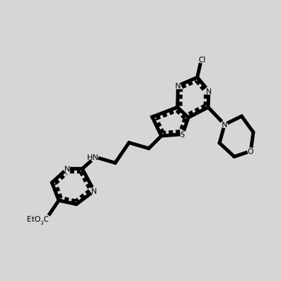 CCOC(=O)c1cnc(NCCCc2cc3nc(Cl)nc(N4CCOCC4)c3s2)nc1